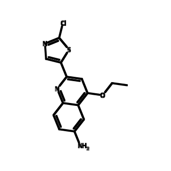 CCOc1cc(-c2cnc(Cl)s2)nc2ccc(N)cc12